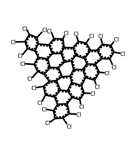 Clc1c(Cl)c(Cl)c2c(c1Cl)c1c(Cl)c(Cl)c3c4c(Cl)c(Cl)c5c6c(Cl)c(Cl)c(Cl)c(Cl)c6c6c(Cl)c(Cl)c7c8c(Cl)c(Cl)c9c%10c(Cl)c(Cl)c(Cl)c(Cl)c%10c%10c(Cl)c(Cl)c%11c%12c(Cl)c(Cl)c2c2c1c3c1c(c%122)c2c%11c%10c9c8c2c2c7c6c5c4c12